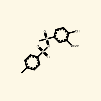 CCCCCCc1cc(S(C)(=O)=NS(=O)(=O)c2ccc(C)cc2)ccc1O